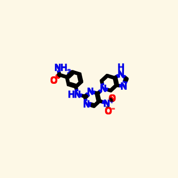 NC(=O)c1cccc(Nc2ncc([N+](=O)[O-])c(N3CCc4[nH]cnc4C3)n2)c1